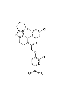 CN(C)c1ccc(OCC(=O)N2CCc3nc4n(c3C2c2ccc(Cl)cc2F)CCCC4)c(Cl)n1